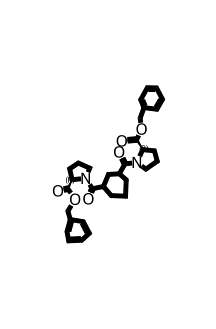 O=C(OCc1ccccc1)[C@H]1CCCN1C(=O)C1CCCC(C(=O)N2CCC[C@@H]2C(=O)OCc2ccccc2)C1